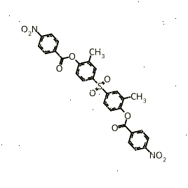 Cc1cc(S(=O)(=O)c2ccc(OC(=O)c3ccc([N+](=O)[O-])cc3)c(C)c2)ccc1OC(=O)c1ccc([N+](=O)[O-])cc1